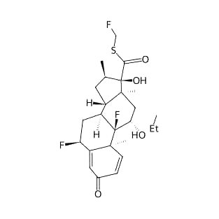 CCC.C[C@@H]1C[C@H]2[C@@H]3C[C@H](F)C4=CC(=O)C=C[C@]4(C)[C@@]3(F)[C@@H](O)C[C@]2(C)[C@@]1(O)C(=O)SCF